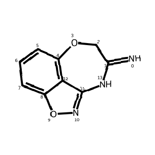 N=C1COc2cccc3onc(c23)N1